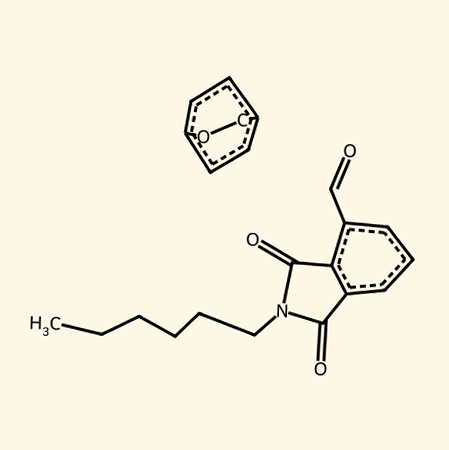 CCCCCCN1C(=O)c2cccc(C=O)c2C1=O.c1cc2ccc1CO2